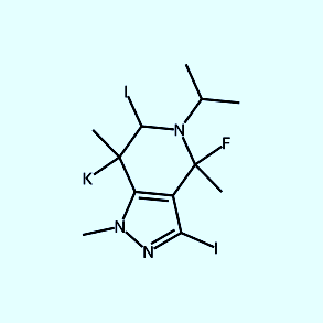 CC(C)N1C(I)[C](C)([K])c2c(c(I)nn2C)C1(C)F